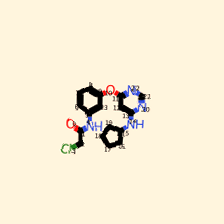 O=C(CCl)Nc1cccc(Oc2cc(NC3CCCC3)ncn2)c1